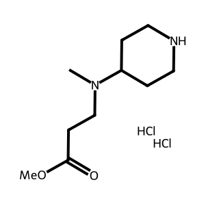 COC(=O)CCN(C)C1CCNCC1.Cl.Cl